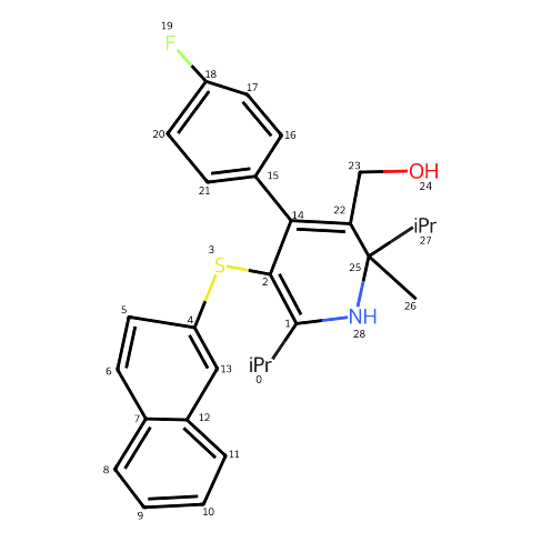 CC(C)C1=C(Sc2ccc3ccccc3c2)C(c2ccc(F)cc2)=C(CO)C(C)(C(C)C)N1